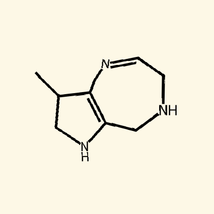 CC1CNC2=C1N=CCNC2